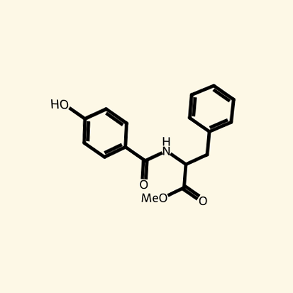 COC(=O)C(Cc1ccccc1)NC(=O)c1ccc(O)cc1